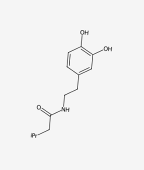 CC(C)CC(=O)NCCc1ccc(O)c(O)c1